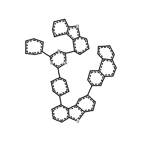 c1ccc(-c2nc(-c3ccc(-c4cccc5oc6ccc(-c7ccc8c(ccc9ccccc98)c7)cc6c45)cc3)nc(-c3cccc4oc5ccccc5c34)n2)cc1